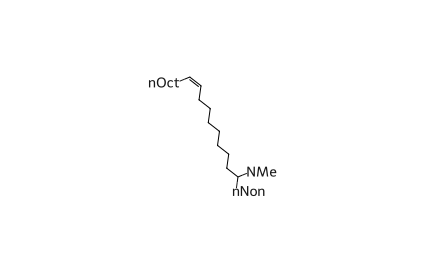 CCCCCCCC/C=C\CCCCCCCC(CCCCCCCCC)NC